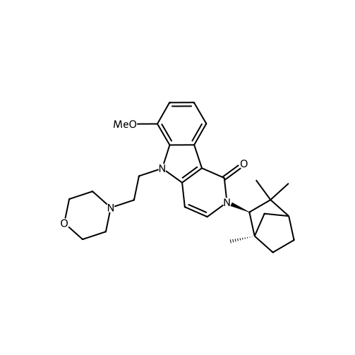 COc1cccc2c3c(=O)n([C@H]4C(C)(C)C5CC[C@]4(C)C5)ccc3n(CCN3CCOCC3)c12